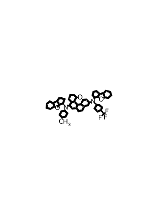 Cc1ccc(N(c2cc3ccc4cc(N(c5ccc(C(F)(F)F)cc5)c5cccc6c5oc5ccccc56)cc5c4c3c3c(cccc23)O5)c2cccc3c2oc2ccccc23)cc1